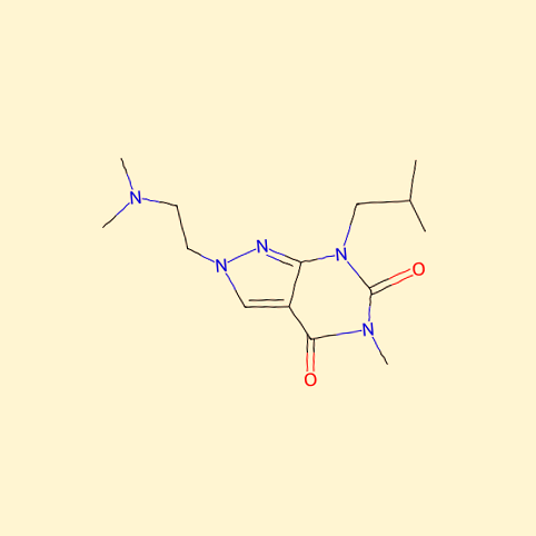 CC(C)Cn1c(=O)n(C)c(=O)c2cn(CCN(C)C)nc21